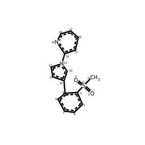 CS(=O)(=O)c1ccccc1-c1ccn(-c2ccccn2)c1